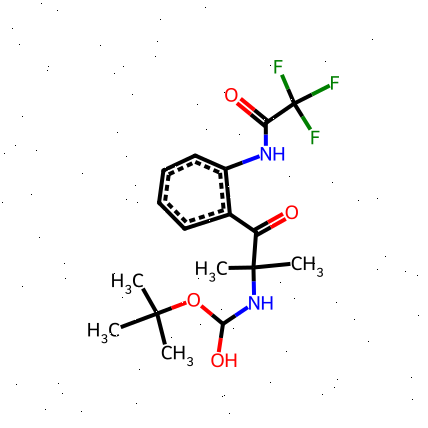 CC(C)(C)OC(O)NC(C)(C)C(=O)c1ccccc1NC(=O)C(F)(F)F